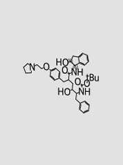 CC(C)(C)OC(=O)NC(Cc1ccccc1)C(O)CC(Cc1ccc(OCCN2CCCC2)cc1)C(=O)N[C@H]1c2ccccc2C[C@@H]1O